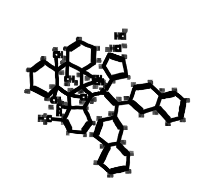 CC1=CC=CC2[CH]([Zr]([C]3=CC=CC3)=[C](c3ccc4ccccc4c3)c3ccc4ccccc4c3)C3(C)C4(C)C=CC=CC4(C)C4(C)C=CC=CC4(C)C3(C)C12C.Cl.Cl